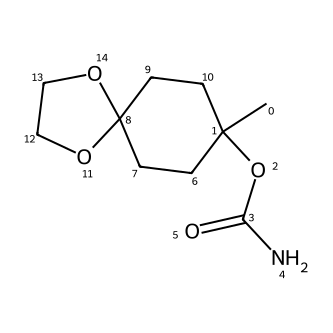 CC1(OC(N)=O)CCC2(CC1)OCCO2